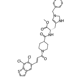 COC(=O)[C@H](CC1=CN(Cc2ccccc2)CN1)NC(=O)C1CCN(C(=O)/C=C/c2cc3ccsc3c(Cl)c2Cl)CC1